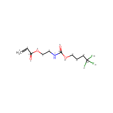 C=CC(=O)OCCNC(=O)OCCCC(F)(F)F